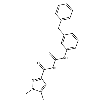 Cc1cc(C(=O)NC(=S)Nc2cccc(Cc3ccccc3)c2)nn1C